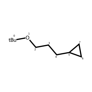 CC(C)(C)OCCCC1CC1